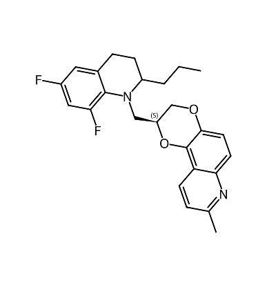 CCCC1CCc2cc(F)cc(F)c2N1C[C@H]1COc2ccc3nc(C)ccc3c2O1